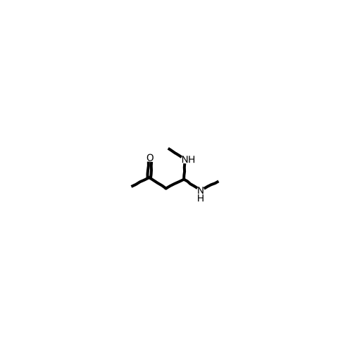 CNC(CC(C)=O)NC